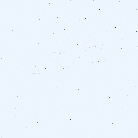 CC[N+](CC1CO1)(CC1CO1)C1(C)CC(N(CC2CO2)CC2CO2)CC(C)(C)C1